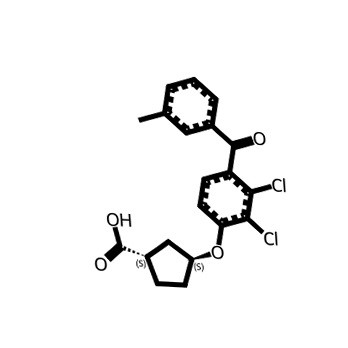 Cc1cccc(C(=O)c2ccc(O[C@H]3CC[C@H](C(=O)O)C3)c(Cl)c2Cl)c1